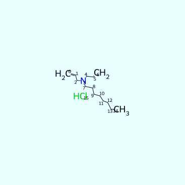 C=CCN(CC=C)CCCCCCCC.Cl